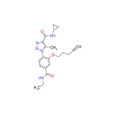 C#CCCCOc1cc(C(=O)NCC)ccc1-n1nnc(C(=O)NC2CC2)c1C